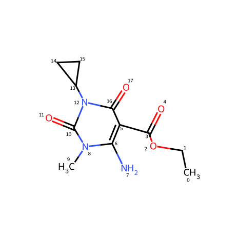 CCOC(=O)c1c(N)n(C)c(=O)n(C2CC2)c1=O